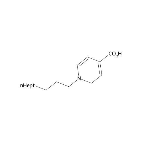 CCCCCCCCCCN1C=CC(C(=O)O)=CC1